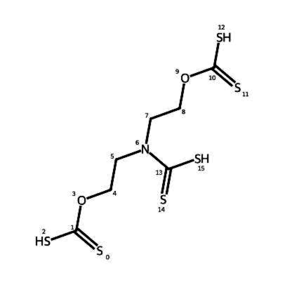 S=C(S)OCCN(CCOC(=S)S)C(=S)S